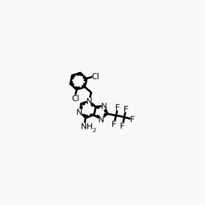 Nc1ncn(Cc2c(Cl)cccc2Cl)c2nc(C(F)(F)C(F)(F)F)nc1-2